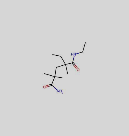 CCNC(=O)C(C)(CC)CC(C)(C)C(N)=O